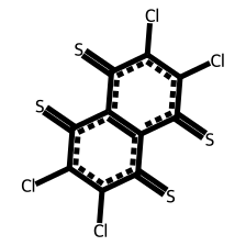 S=c1c(Cl)c(Cl)c(=S)c2c(=S)c(Cl)c(Cl)c(=S)c1=2